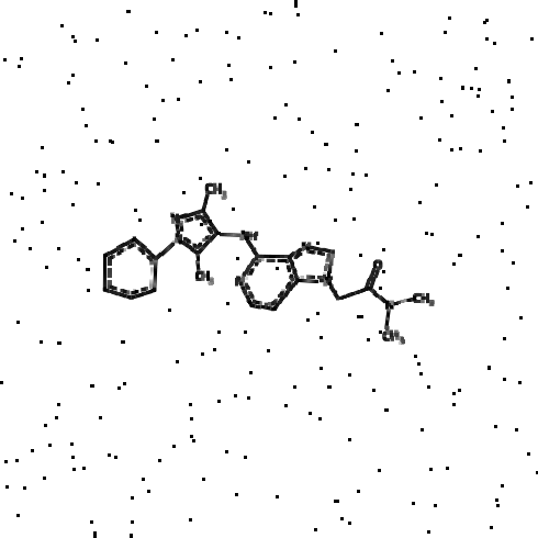 Cc1nn(-c2ccccc2)c(C)c1Nc1nccc2c1ncn2CC(=O)N(C)C